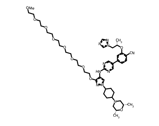 COCCOCCOCCOCCOCCOCCOCCOc1nn(C2CCC(N3C[C@@H](C)O[C@@H](C)C3)CC2)cc1Nc1ncc(-c2ccc(C#N)c(O[C@@H](C)Cn3cncn3)c2)cn1